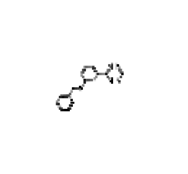 Cc1nnc(-c2cccc(SCc3ccccc3)c2)nn1